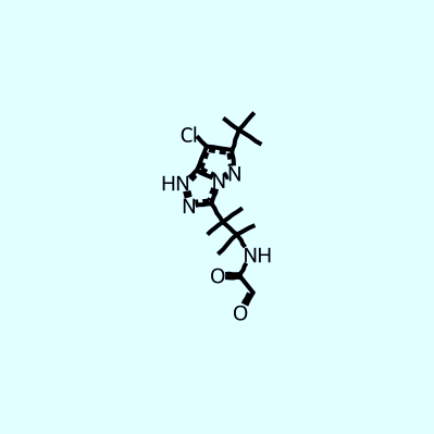 CC(C)(C)c1nn2c(C(C)(C)C(C)(C)NC(=O)C=O)n[nH]c2c1Cl